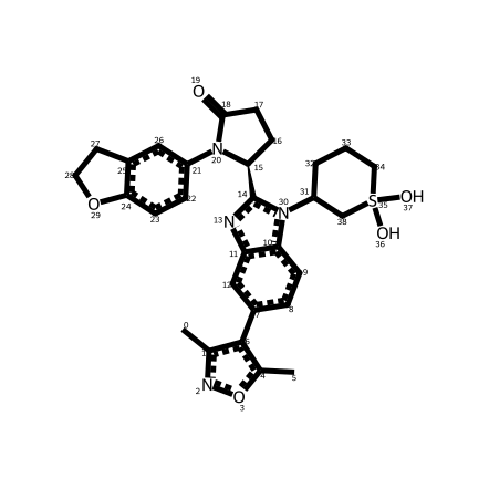 Cc1noc(C)c1-c1ccc2c(c1)nc([C@@H]1CCC(=O)N1c1ccc3c(c1)CCO3)n2C1CCCS(O)(O)C1